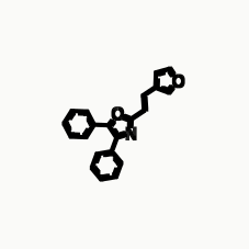 C(=C\c1nc(-c2ccccc2)c(-c2ccccc2)o1)/c1ccoc1